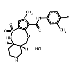 Cc1cc(NC(=O)c2c3c(cn2C)S(=O)(=O)N[C@H]2CCNC[C@H]2CO3)ccc1F.Cl